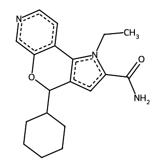 CCn1c(C(N)=O)cc2c1-c1ccncc1OC2C1CCCCC1